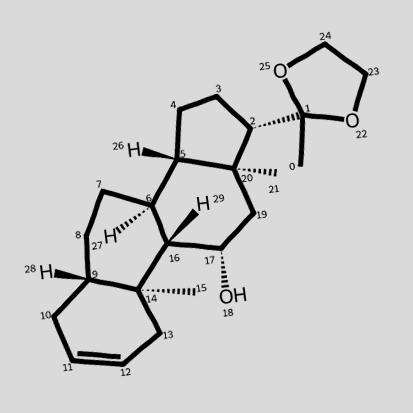 CC1([C@H]2CC[C@H]3[C@@H]4CC[C@H]5CC=CC[C@]5(C)[C@H]4[C@@H](O)C[C@]23C)OCCO1